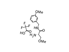 COC[C@H](N)C(=O)NCc1cccc(OC)c1.O=C(O)C(F)(F)F